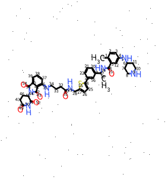 Cc1ccc(NC2CCNCC2)cc1C(=O)N[C@H](C)c1cccc(-c2ccc(CNC(=O)CCCNc3cccc4c3C(=O)N(C3CCC(=O)NC3=O)C4=O)s2)c1